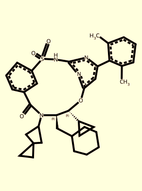 Cc1cccc(C)c1-c1cc2nc(n1)NS(=O)(=O)c1cccc(c1)C(=O)N(C1CC3(CC3)C1)[C@H](CC1CCCCC1)[C@@H](C1CC1)O2